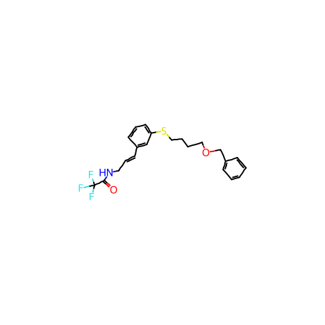 O=C(NC/C=C/c1cccc(SCCCCOCc2ccccc2)c1)C(F)(F)F